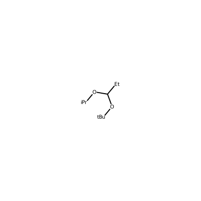 CCC(OC(C)C)OC(C)(C)C